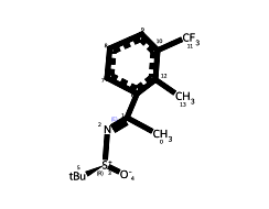 C/C(=N\[S@@+]([O-])C(C)(C)C)c1cccc(C(F)(F)F)c1C